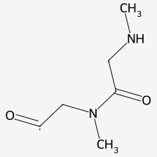 CNCC(=O)N(C)C[C]=O